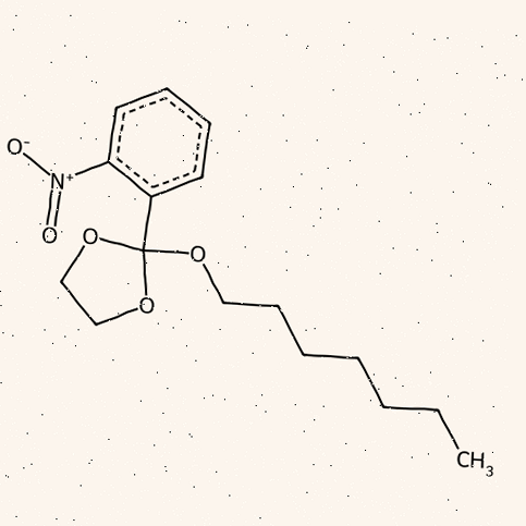 CCCCCCCOC1(c2ccccc2[N+](=O)[O-])OCCO1